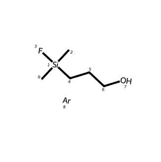 C[Si](C)(F)CCCO.[Ar]